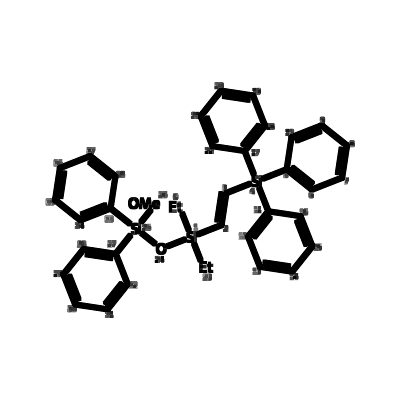 CC[Si](C=C[Si](c1ccccc1)(c1ccccc1)c1ccccc1)(CC)O[Si](OC)(c1ccccc1)c1ccccc1